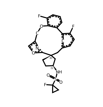 O=S(=O)(N[C@H]1CC[C@@]2(Cc3ccc(F)c(c3)-c3cccc(F)c3OCc3coc2n3)C1)C1(F)CC1